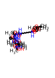 CCC(C)(C)CC(C)(CC(C)(C(=O)NCC(=O)N[C@@H](Cc1ccccc1)C(=O)N[C@@H](CC(C)C)C(=O)NCC(=O)NCCCCCCCCCCNC(=O)OC1CC[C@]2(CO2)C(C2(C)O[C@@H]2CC=C(C)C)C1OC)C(C)(C)CC)C(=O)NCC(C)O